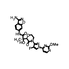 COc1nccc(-n2cc(F)c(N3CCO[C@H]([C@@](C)(O)C(=O)Nc4ccc5c(N)noc5c4)C3=O)n2)n1